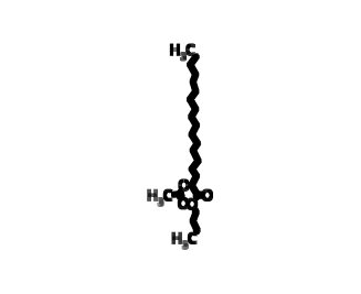 CCCCCCCCCCCCCCCCC(OC(C)=O)C(=O)OCCCC